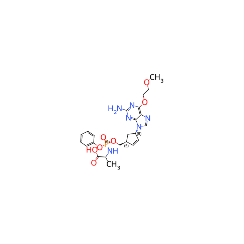 COCCOc1nc(N)nc2c1ncn2[C@H]1C=C[C@@H](CO[P@](=O)(NC(C)C(=O)O)Oc2ccccc2)C1